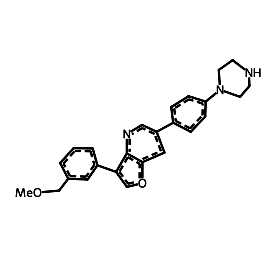 COCc1cccc(-c2coc3cc(-c4ccc(N5CCNCC5)cc4)cnc23)c1